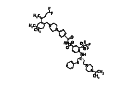 C=C(CCC(F)F)C1=C(CN2CCN(c3ccc(C(=O)NS(=O)(=O)c4ccc(N[C@H](CCN5CCN(C(C)C)CC5)CSc5ccccc5)c(S(=O)(=O)C(F)(F)F)c4)cc3)CC2)CCC(C)(C)C1